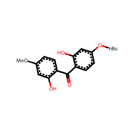 CCCCOc1ccc(C(=O)c2ccc(OC)cc2O)c(O)c1